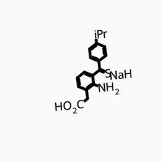 CC(C)c1ccc(C(=S)c2cccc(CC(=O)O)c2N)cc1.[NaH]